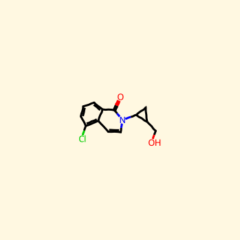 O=c1c2cccc(Cl)c2ccn1C1CC1CO